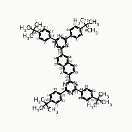 CC(C)(C)c1ccc(-c2nc(-c3ccc(C(C)(C)C)cc3)nc(-c3ccc4cc(-c5nc(-c6ccc(C(C)(C)C)cc6)nc(-c6ccc(C(C)(C)C)cc6)n5)ccc4c3)n2)cc1